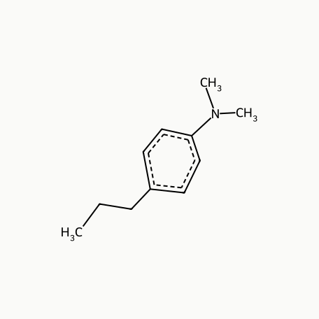 CCCc1ccc(N(C)C)cc1